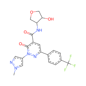 Cn1cc(-n2nc(-c3ccc(C(F)(F)F)cc3)cc(C(=O)NC3COCC3O)c2=O)cn1